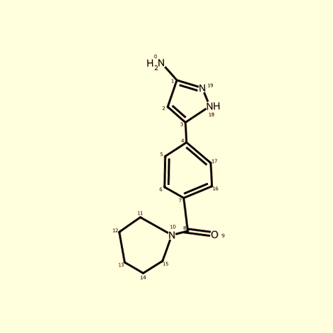 Nc1cc(-c2ccc(C(=O)N3CCCCC3)cc2)[nH]n1